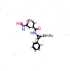 CC(=O)N[C@@H]1[C@@H](NC(=O)[C@@H](CC(=O)NO)CC(C)C)[C@@H]1c1ccccc1